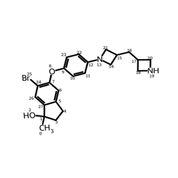 CC1(O)CCc2cc(Oc3ccc(N4CC(CC5CNC5)C4)cc3)c(Br)cc21